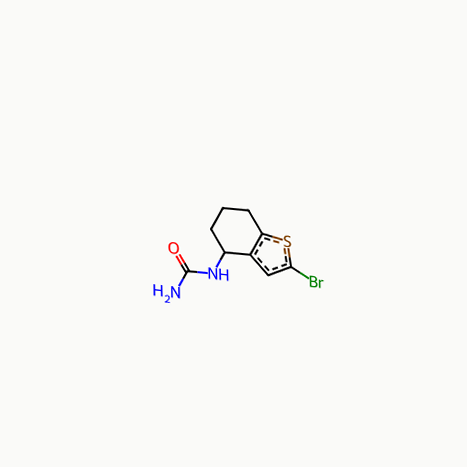 NC(=O)NC1CCCc2sc(Br)cc21